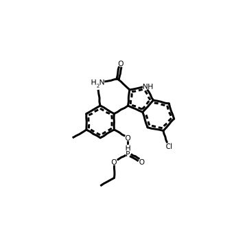 CCO[PH](=O)Oc1cc(C)cc(C)c1-c1c(C(N)=O)[nH]c2ccc(Cl)cc12